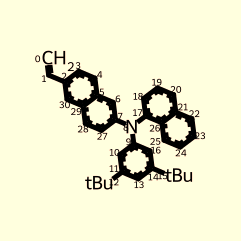 C=Cc1ccc2cc(N(c3cc(C(C)(C)C)cc(C(C)(C)C)c3)c3cccc4ccccc34)ccc2c1